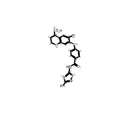 CC(C)c1nsc(NC(=O)c2ccc(Oc3cc4c(cc3Cl)C(C(=O)O)CCO4)cc2)n1